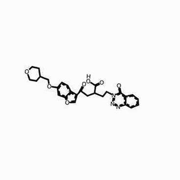 O=C(CC(CCn1nnc2ccccc2c1=O)C(=O)O)c1coc2cc(OCC3CCOCC3)ccc12